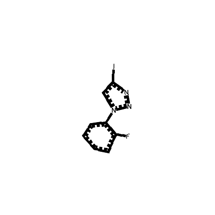 Fc1ccccc1-n1cc(I)nn1